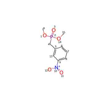 COP(=O)(Cc1cccc([N+](=O)[O-])c1)OC